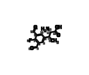 CC(c1cc(C=O)c(F)c(C=O)c1)[C@H](N)C(=O)O